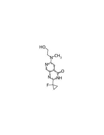 CN(CCO)c1cc2c(=O)[nH]c(C3(F)CC3)nc2cn1